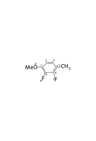 COc1ccc(C)c(F)c1F